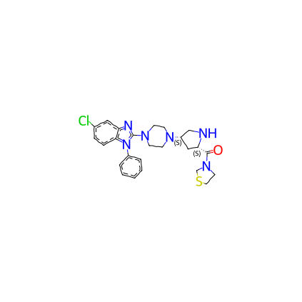 O=C([C@@H]1C[C@H](N2CCN(c3nc4cc(Cl)ccc4n3-c3ccccc3)CC2)CN1)N1CCSC1